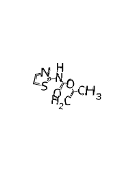 C=C(C)OC(=O)Nc1nccs1